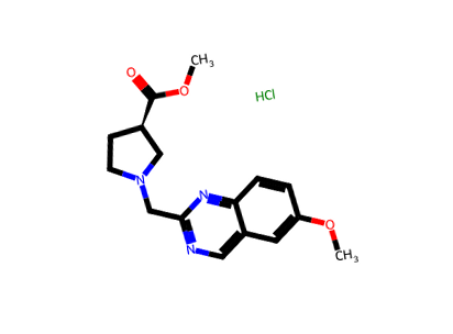 COC(=O)[C@@H]1CCN(Cc2ncc3cc(OC)ccc3n2)C1.Cl